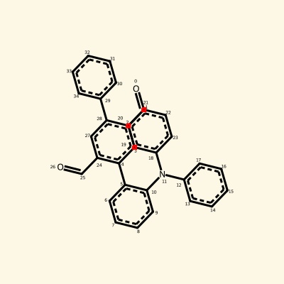 O=Cc1cc(-c2ccccc2N(c2ccccc2)c2ccccc2)c(C=O)cc1-c1ccccc1